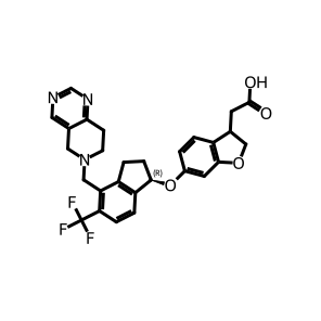 O=C(O)CC1COc2cc(O[C@@H]3CCc4c3ccc(C(F)(F)F)c4CN3CCc4ncncc4C3)ccc21